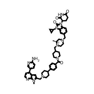 C[C@H]1CN(Cc2ccc3c(c2)n(C2CC2)c(=O)n3C2CCC(=O)NC2=O)CCN1CC1CCN(C(=O)c2ccc(C3CCN(Cc4cc5c(-c6ccc(N)nc6)ccnc5n4C)CC3)cc2)CC1